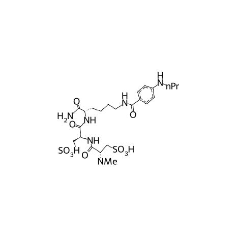 CCCNc1ccc(C(=O)NCCCC[C@H](NC(=O)[C@H](CS(=O)(=O)O)NC(=O)[C@H](CS(=O)(=O)O)NC)C(N)=O)cc1